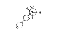 CC1(C)C[C@H]2CNC[C@H]1N(c1ccc(N3CCOCC3)cc1)C2